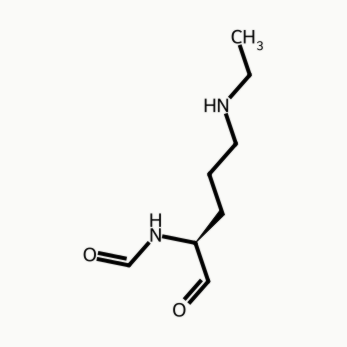 CCNCCC[C@@H](C=O)NC=O